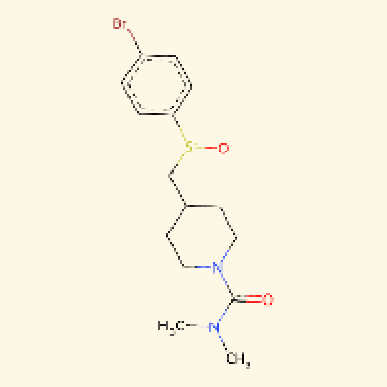 CN(C)C(=O)N1CCC(C[S+]([O-])c2ccc(Br)cc2)CC1